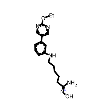 CCOc1ncc(-c2cccc(NCCCCC/C(N)=N/O)c2)cn1